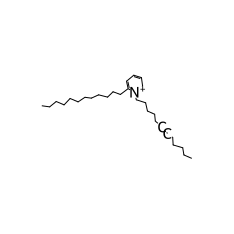 CCCCCCCCCCCCc1cccc[n+]1CCCCCCCCCCCC